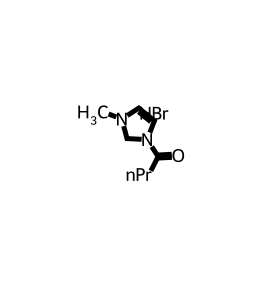 Br.CCCC(=O)N1C=CN(C)C1